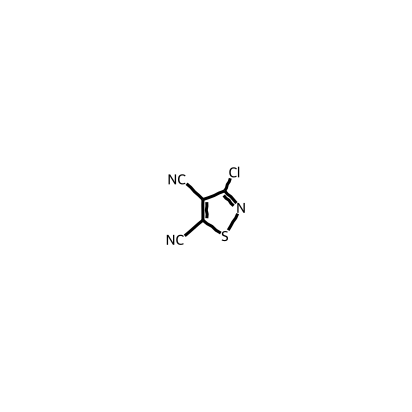 N#Cc1snc(Cl)c1C#N